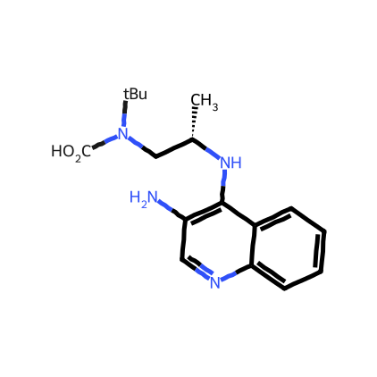 C[C@@H](CN(C(=O)O)C(C)(C)C)Nc1c(N)cnc2ccccc12